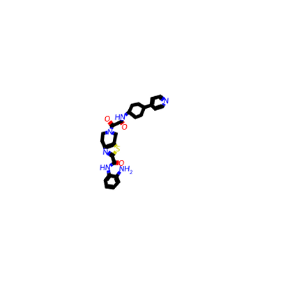 Nc1ccccc1NC(=O)c1nc2c(s1)CN(C(=O)C(=O)NC1CCC(c3ccncc3)CC1)CC2